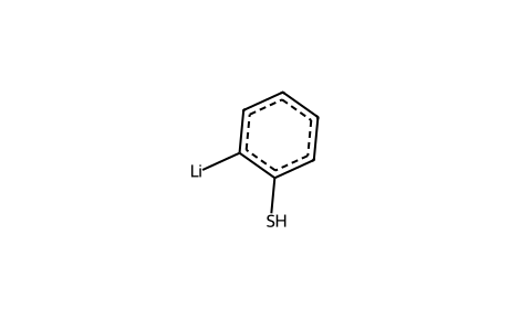 [Li][c]1ccccc1S